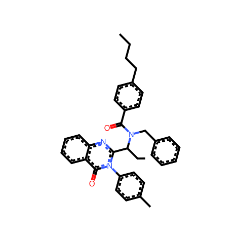 CCCCc1ccc(C(=O)N(Cc2ccccc2)C(CC)c2nc3ccccc3c(=O)n2-c2ccc(C)cc2)cc1